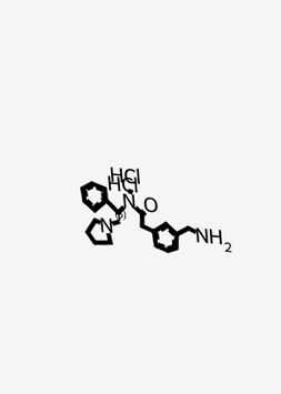 CN(C(=O)Cc1cccc(CN)c1)[C@H](CN1CCCC1)c1ccccc1.Cl.Cl